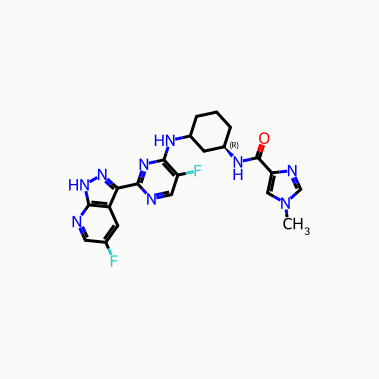 Cn1cnc(C(=O)N[C@@H]2CCCC(Nc3nc(-c4n[nH]c5ncc(F)cc45)ncc3F)C2)c1